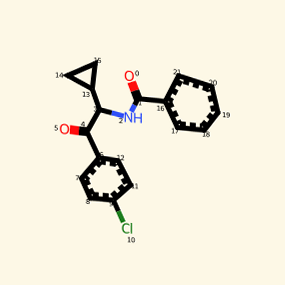 O=C(NC(C(=O)c1ccc(Cl)cc1)C1CC1)c1ccccc1